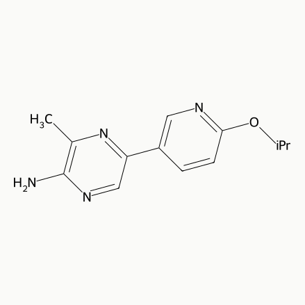 Cc1nc(-c2ccc(OC(C)C)nc2)cnc1N